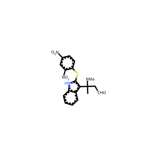 CNC(C)(CC=O)c1c(Sc2ccc([N+](=O)[O-])cc2[N+](=O)[O-])[nH]c2ccccc12